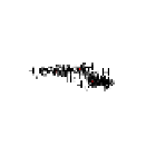 COCCOCCNC(=O)C(N)CCC(=O)NCCOCCOC(C)OCCOCCOC(C)O[C@@H]1C[C@H](n2cc(F)c(=O)[nH]c2=O)O[C@@H]1COC